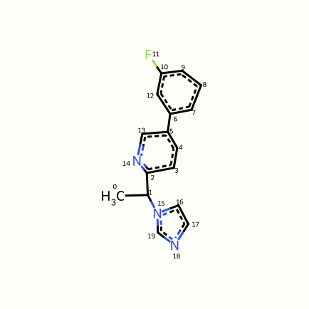 CC(c1ccc(-c2cccc(F)c2)cn1)n1ccnc1